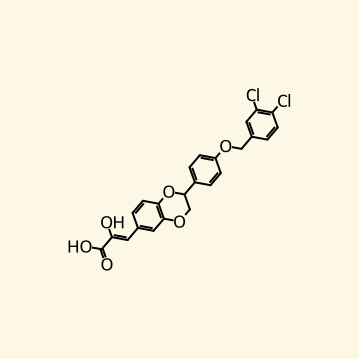 O=C(O)C(O)=Cc1ccc2c(c1)OCC(c1ccc(OCc3ccc(Cl)c(Cl)c3)cc1)O2